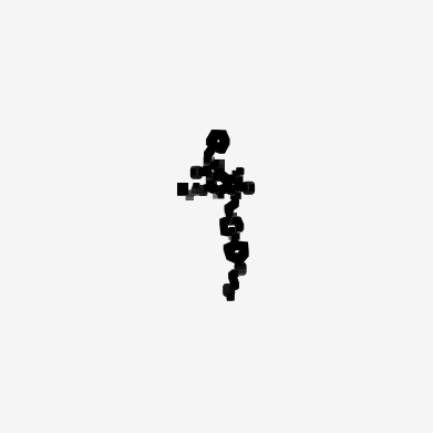 COCCOc1ccc(N2CCN(CCn3c(=O)n(C)c4c3nc([AsH2])n3c(=O)n(Cc5ccccc5)nc43)CC2)cc1